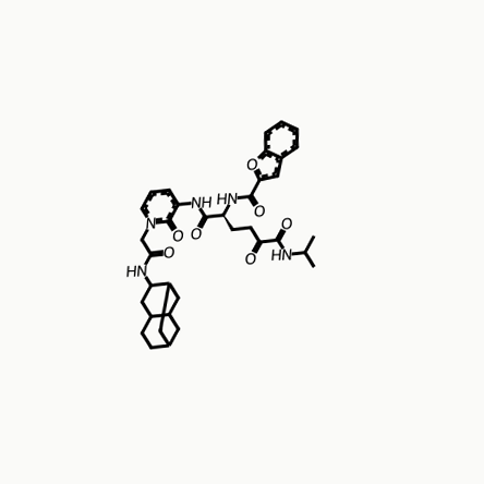 CC(C)NC(=O)C(=O)CC[C@H](NC(=O)c1cc2ccccc2o1)C(=O)Nc1cccn(CC(=O)NC2CC3CCC4CC3CC2C4)c1=O